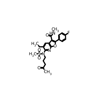 CCc1cc2c(C(=O)NC)c(-c3ccc(F)cc3)oc2nc1N(CCCC(C)=O)S(C)(=O)=O